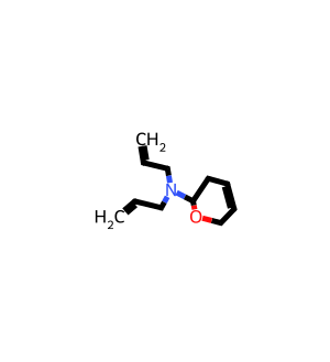 C=CCN(CC=C)C1CC=CCO1